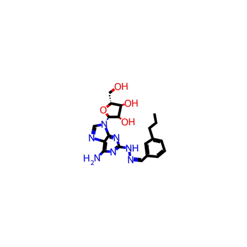 CCCc1cccc(/C=N\Nc2nc(N)c3ncn([C@@H]4O[C@H](CO)[C@@H](O)[C@H]4O)c3n2)c1